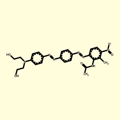 CC(=O)Nc1c(N=Nc2ccc(N=Nc3ccc(N(CCO)CCO)cc3)cc2)ccc([N+](=O)[O-])c1C